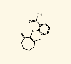 C=C1CCCCC(C)=C1Sc1ccccc1C(=O)O